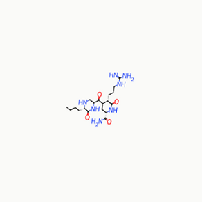 CCCC[C@@H]1NC[C@@H](C(=O)C2C[C@@H](C(N)=O)NC(=O)[C@H]2CCCNC(=N)N)NC1=O